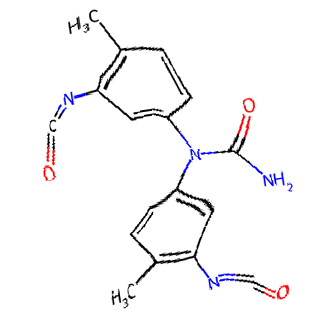 Cc1ccc(N(C(N)=O)c2ccc(C)c(N=C=O)c2)cc1N=C=O